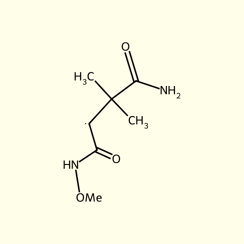 CONC(=O)[CH]C(C)(C)C(N)=O